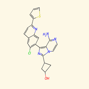 Nc1nccn2c(C3CC(O)C3)nc(-c3cc4nc(-c5cccs5)ccc4cc3Cl)c12